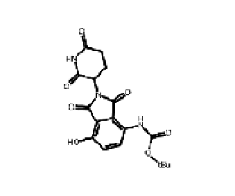 CC(C)(C)OC(=O)Nc1ccc(O)c2c1C(=O)N(C1CCC(=O)NC1=O)C2=O